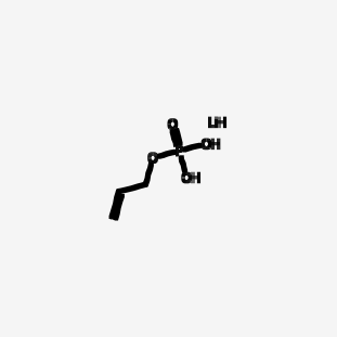 C=CCOP(=O)(O)O.[LiH]